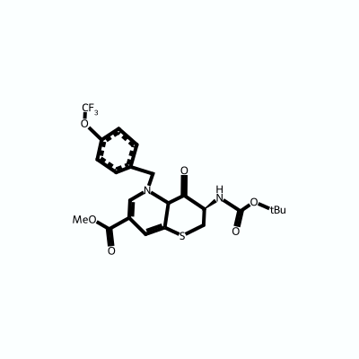 COC(=O)C1=CN(Cc2ccc(OC(F)(F)F)cc2)C2C(=O)[C@@H](NC(=O)OC(C)(C)C)CSC2=C1